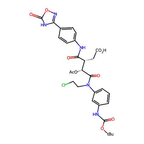 CC(=O)O[C@@H](C(=O)N(CCCl)c1cccc(NC(=O)OC(C)(C)C)c1)[C@@H](CC(=O)O)C(=O)Nc1ccc(-c2noc(=O)[nH]2)cc1